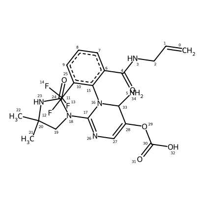 C=CCNC(=O)c1cccc(C(F)(F)F)c1N1C(N2CC(C)(C)NC2=O)=NC=C(OC(=O)O)C1N